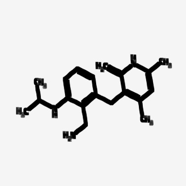 C=C1NC(C)=CC(C)=C1Cc1cccc(NC(C)C)c1CN